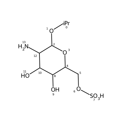 CC(C)OC1OC(COS(=O)(=O)O)C(O)C(O)C1N